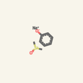 C[S+](C)[O-].[Na+].[O-]c1ccccc1